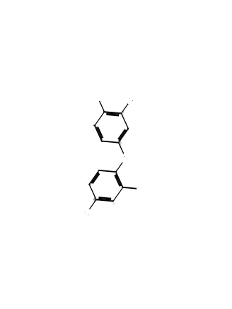 Nc1cc(Nc2ccc([N+](=O)[O-])cc2S(=O)(=O)O)ccc1S(=O)(=O)O